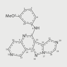 COc1cccc(Nc2nc3ccncc3c3nn4ccncc4c23)c1